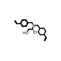 C=Cc1ccc(CN(CC2CCC(C=C)CC2)[C@@H](CC)CO)cc1